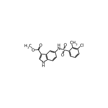 COC(=O)c1c[nH]c2ccc(NS(=O)(=O)c3cccc(Cl)c3C)cc12